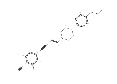 CCCc1ccc([C@H]2CC[C@H](C=CC#Cc3cc(F)c(C#N)c(F)c3)CC2)cc1